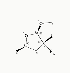 CO[C@@H]1O[C@H](C)C[C@@]1(C)F